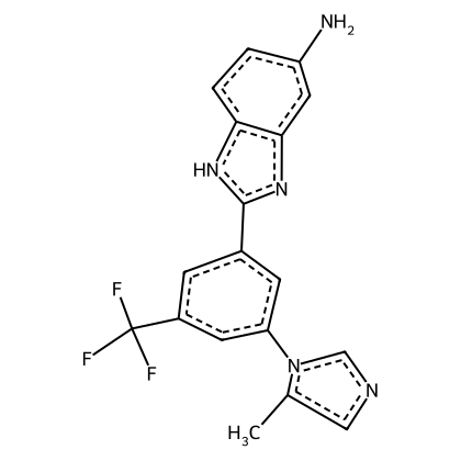 Cc1cncn1-c1cc(-c2nc3cc(N)ccc3[nH]2)cc(C(F)(F)F)c1